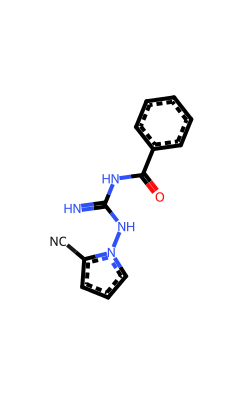 N#Cc1cccn1NC(=N)NC(=O)c1ccccc1